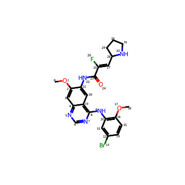 COc1cc2ncnc(Nc3cc(Br)ccc3OC)c2cc1NC(=O)C(F)=CC1CCCN1